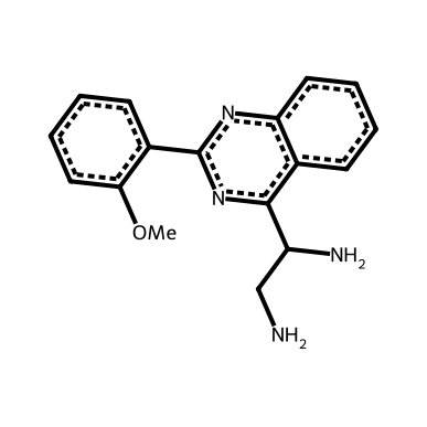 COc1ccccc1-c1nc(C(N)CN)c2ccccc2n1